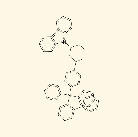 CCC(CC(C)c1ccc([Si](c2ccccc2)(c2ccccc2)c2ccccc2-c2cccnc2)cc1)n1c2ccccc2c2ccccc21